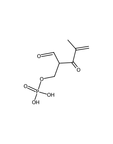 C=C(C)C(=O)C(C=O)COP(=O)(O)O